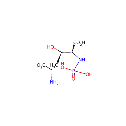 C[C@@H](O)[C@H](NP(=O)(O)O)C(=O)O.NCC(=O)O